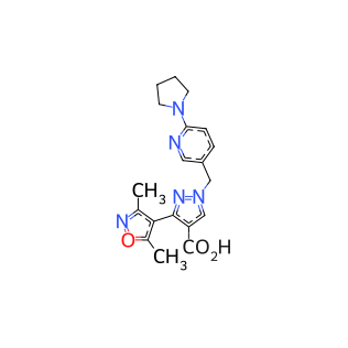 Cc1noc(C)c1-c1nn(Cc2ccc(N3CCCC3)nc2)cc1C(=O)O